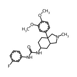 COc1ccc(C23CCC(NC(=O)Nc4cccc(F)c4)CC2CN(C)C3)cc1OC